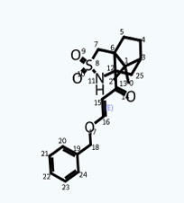 CC1(C)C2CCC13CS(=O)(=O)NC3(C(=O)/C=C/OCc1ccccc1)C2